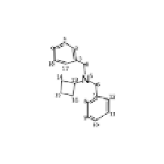 c1ccc(CN(Cc2ccccc2)C2CCC2)cc1